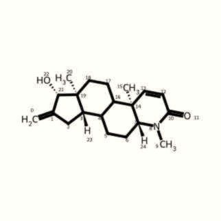 C=C1C[C@H]2C3CC[C@H]4N(C)C(=O)C=C[C@]4(C)C3CC[C@]2(C)[C@H]1O